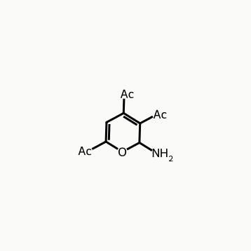 CC(=O)C1=CC(C(C)=O)=C(C(C)=O)C(N)O1